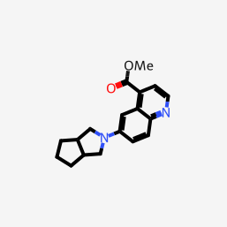 COC(=O)c1ccnc2ccc(N3CC4CCCC4C3)cc12